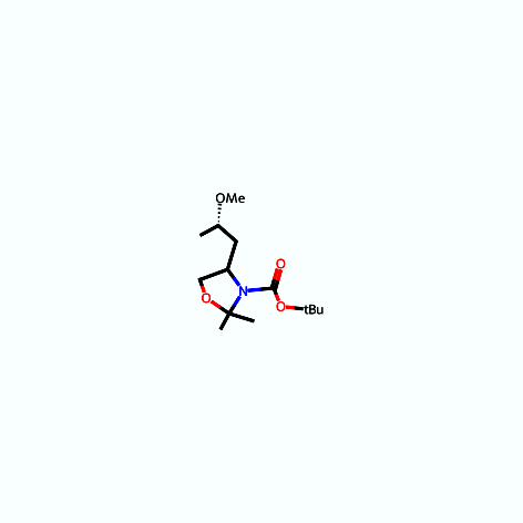 CO[C@@H](C)CC1COC(C)(C)N1C(=O)OC(C)(C)C